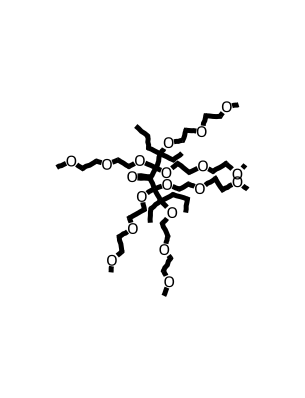 CCCC(CC)(OCCOCCOC)C(OCCOCCOC)(OCCOCCOC)C(=O)C(OCCOCCOC)(OCCOCCOC)C(CC)(CCC)OCCOCCOC